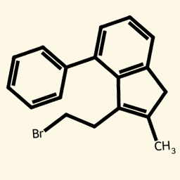 CC1=C(CCBr)c2c(cccc2-c2ccccc2)C1